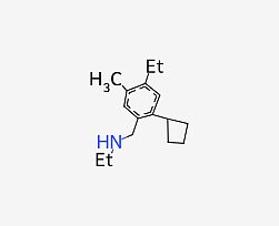 CCNCc1cc(C)c(CC)cc1C1CCC1